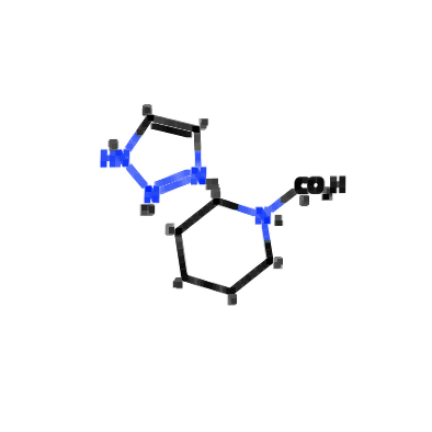 O=C(O)N1CCCCC1.c1c[nH]nn1